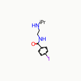 CC(C)NCCNC(=O)c1ccc(I)cc1